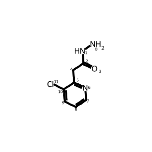 NNC(=O)Cc1ncccc1Cl